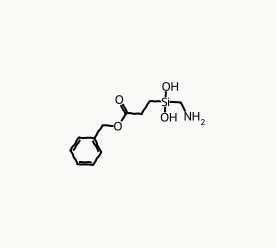 NC[Si](O)(O)CCC(=O)OCc1ccccc1